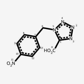 O=C(O)c1nnnn1Cc1ccc([N+](=O)[O-])cc1